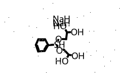 OC(O)CO[SH](OCC(O)O)c1ccccc1.[NaH].[NaH]